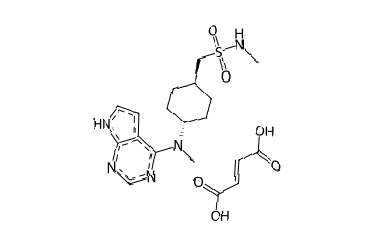 CNS(=O)(=O)C[C@H]1CC[C@H](N(C)c2ncnc3[nH]ccc23)CC1.O=C(O)C=CC(=O)O